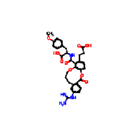 COc1ccc(CC(NC(=O)c2c(CCC(=O)O)ccc3c2OCCCc2cc(NC(=N)N)ccc2C(=O)O3)C(=O)O)cc1